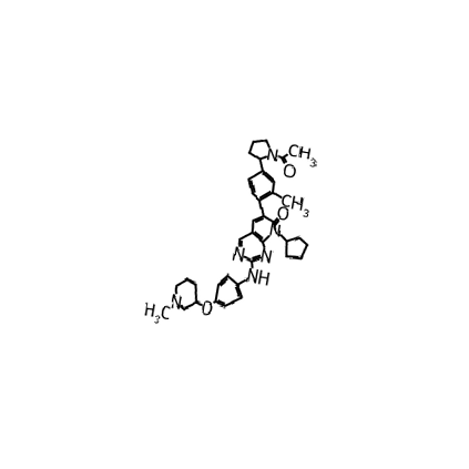 CC(=O)N1CCCC1c1ccc(-c2cc3cnc(Nc4ccc(OC5CCCN(C)C5)cc4)nc3n(C3CCCC3)c2=O)c(C)c1